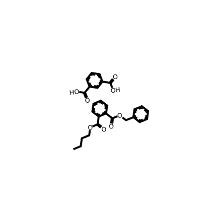 CCCCOC(=O)c1ccccc1C(=O)OCc1ccccc1.O=C(O)c1cccc(C(=O)O)c1